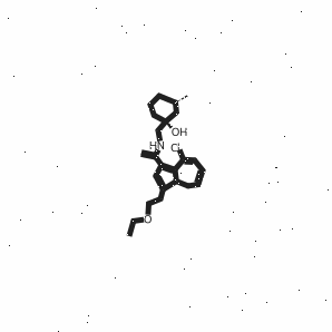 C=C(NC[C@]1(O)CCC[C@H](C)C1)C1=C2C(Cl)=CC=CCC2C(CCOCC)=C1